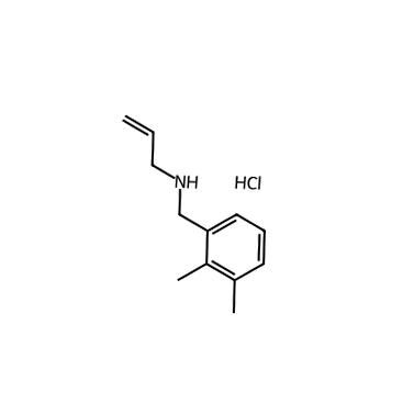 C=CCNCc1cccc(C)c1C.Cl